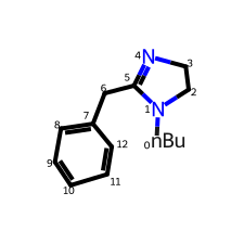 CCCCN1CCN=C1Cc1ccccc1